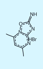 Br.Cc1cc(C)n2oc(=N)nc2n1